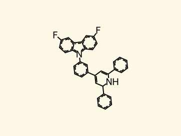 Fc1ccc2c(c1)c1cc(F)ccc1n2-c1cccc(C2=CC(c3ccccc3)NC(c3ccccc3)=C2)c1